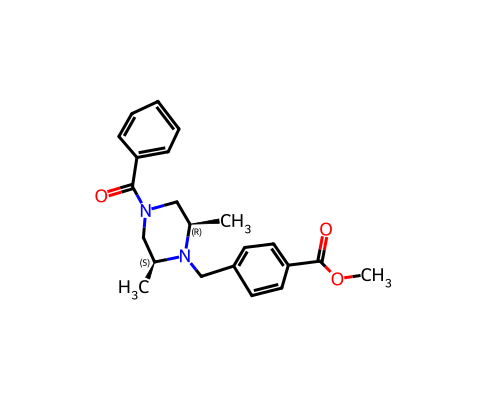 COC(=O)c1ccc(CN2[C@H](C)CN(C(=O)c3ccccc3)C[C@@H]2C)cc1